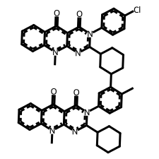 Cc1ccc(-n2c(C3CCCCC3)nc3c(c(=O)c4ccccc4n3C)c2=O)cc1C1CCCC(c2nc3c(c(=O)c4ccccc4n3C)c(=O)n2-c2ccc(Cl)cc2)C1